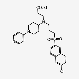 CCOC(=O)CCN(CCCS(=O)(=O)c1ccc2cc(Cl)ccc2c1)C1CCN(c2ccncc2)CC1